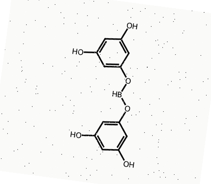 Oc1cc(O)cc(OBOc2cc(O)cc(O)c2)c1